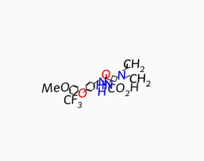 C=CCN(CC=C)C1CC(NC(=O)O)(C(=O)NCc2ccc(Oc3ccc(OC)cc3C(F)(F)F)cc2)C1